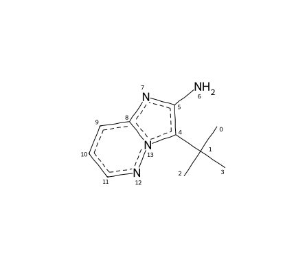 CC(C)(C)c1c(N)nc2cccnn12